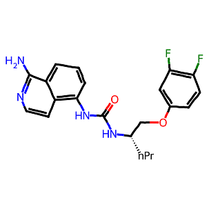 CCC[C@@H](COc1ccc(F)c(F)c1)NC(=O)Nc1cccc2c(N)nccc12